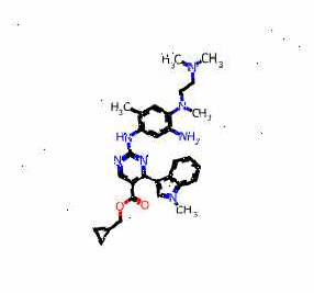 Cc1cc(N(C)CCN(C)C)c(N)cc1Nc1ncc(C(=O)OCC2CC2)c(-c2cn(C)c3ccccc23)n1